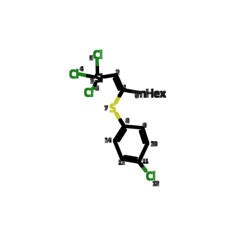 CCCCCC/C(=C/[Si](Cl)(Cl)Cl)Sc1ccc(Cl)cc1